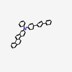 c1ccc(-c2ccc(-c3ccc(N(c4ccccc4)c4ccc5c(ccc6c7ccccc7ccc56)c4)cc3)cc2)cc1